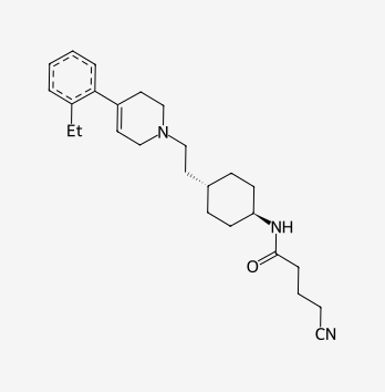 CCc1ccccc1C1=CCN(CC[C@H]2CC[C@H](NC(=O)CCCC#N)CC2)CC1